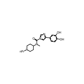 CCCN1CCC(N(C)C(=O)n2cnc(-c3ccc(O)c(O)c3)c2)CC1